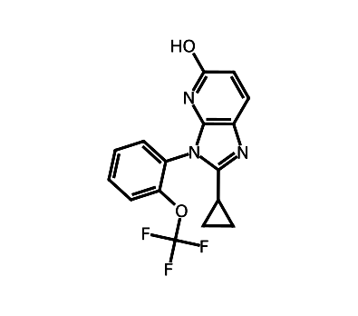 Oc1ccc2nc(C3CC3)n(-c3ccccc3OC(F)(F)F)c2n1